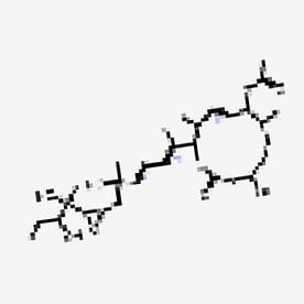 CCC(O)C(C)(O)C1OC1CC(C)(O)/C=C/C=C(\C)C1OC(=O)CC(O)CCC(C)C(OC(C)=O)/C=C/C1C